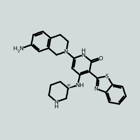 Nc1ccc2c(c1)CN(c1cc(N[C@@H]3CCCNC3)c(-c3nc4ccccc4s3)c(=O)[nH]1)CC2